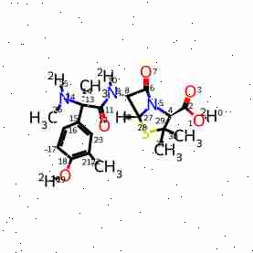 [2H]OC(=O)[C@@H]1N2C(=O)[C@@H](N([2H])C(=O)[C@@](C)(c3ccc(O[2H])c(C)c3)N([2H])C)[C@H]2SC1(C)C